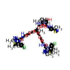 Cc1ncsc1-c1ccc(CNC(=O)[C@@H]2C[C@@H](O)CN2C(=O)[C@@H](NC(=O)COCC(C)(COCCOCCOCCNC(=O)C[C@@H]2N=C(c3ccc(Cl)cc3)c3c(sc(C)c3C)-n3c(C)nnc32)COCCOCCOCCNC(=O)C[C@H]2N=C(c3ccc(Cl)cc3)c3c(sc(C)c3C)-n3c(C)nnc32)C(C)(C)C)cc1